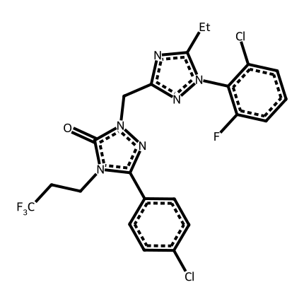 CCc1nc(Cn2nc(-c3ccc(Cl)cc3)n(CCC(F)(F)F)c2=O)nn1-c1c(F)cccc1Cl